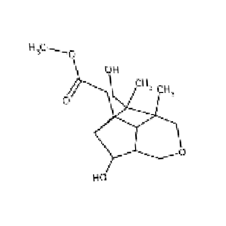 COC(=O)CC1C2C(O)C3COCC(C)(C31)C2(C)CO